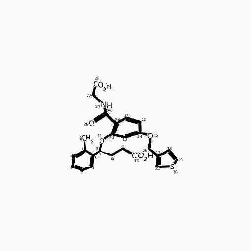 Cc1ccccc1[C@H](CCC(=O)O)Oc1cc(OCc2ccsc2)ccc1C(=O)NCC(=O)O